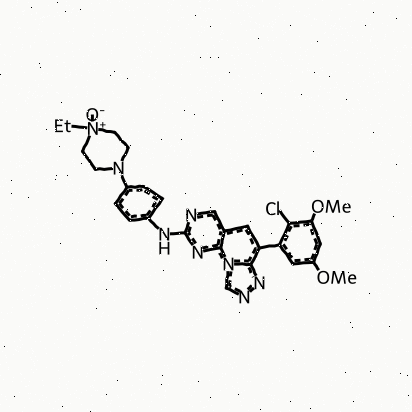 CC[N+]1([O-])CCN(c2ccc(Nc3ncc4cc(-c5cc(OC)cc(OC)c5Cl)c5nncn5c4n3)cc2)CC1